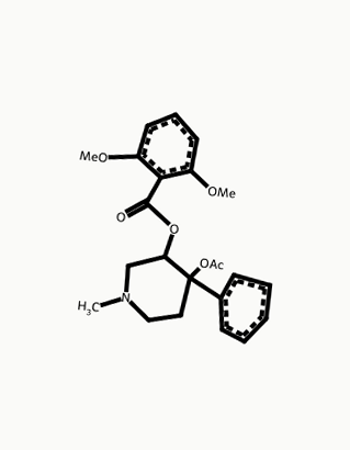 COc1cccc(OC)c1C(=O)OC1CN(C)CCC1(OC(C)=O)c1ccccc1